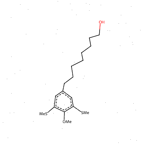 COc1c(SC)cc(CCCCCCCCO)cc1SC